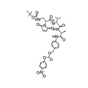 CC(C)[C@H](NC(=O)C(CNC(=O)OC(C)(C)C)N1C(=O)C=CC1=O)C(=O)N[C@@H](C)C(=O)Nc1ccc(COC(=O)Oc2ccc([N+](=O)[O-])cc2)cc1